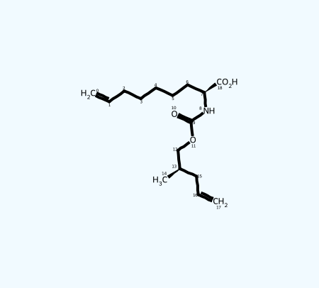 C=CCCCCC[C@H](NC(=O)OC[C@H](C)CC=C)C(=O)O